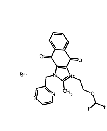 Cc1n(Cc2cnccn2)c2c([n+]1CCOC(F)F)C(=O)c1ccccc1C2=O.[Br-]